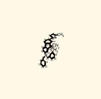 Cc1ccc(-c2ccc3c(c2)C(C)(C)c2cc(N(Cc4ccccc4)Cc4ccccc4)ccc2-3)s1